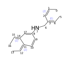 C/C=C\C(=C/C)CNc1ccc(=C/C)/c(=C\C)c1